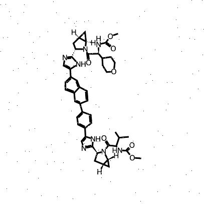 COC(=O)N[C@H](C(=O)N1[C@@H]2C[C@@H]2C[C@H]1c1ncc(-c2ccc(-c3ccc4cc(-c5cnc([C@@H]6C[C@H]7C[C@H]7N6C(=O)[C@@H](NC(=O)OC)C6CCOCC6)[nH]5)ccc4c3)cc2)[nH]1)C(C)C